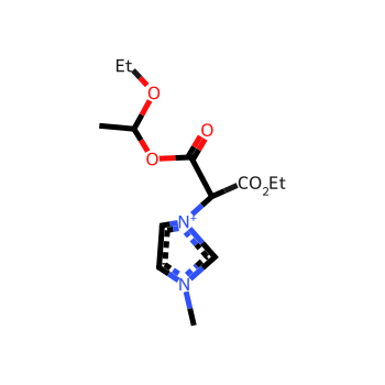 CCOC(=O)C(C(=O)OC(C)OCC)[n+]1ccn(C)c1